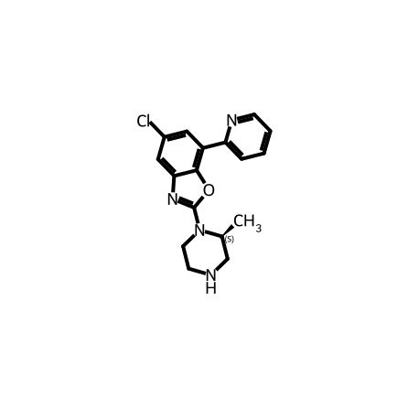 C[C@H]1CNCCN1c1nc2cc(Cl)cc(-c3ccccn3)c2o1